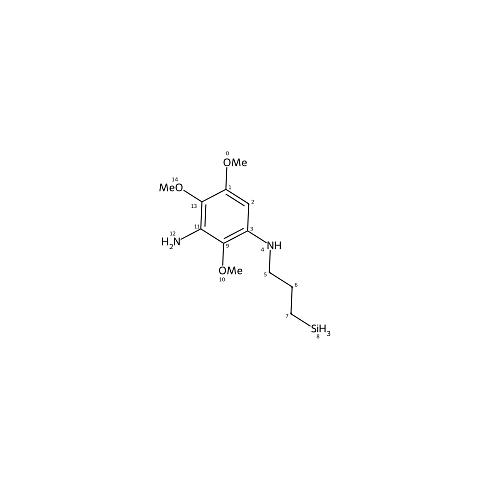 COc1cc(NCCC[SiH3])c(OC)c(N)c1OC